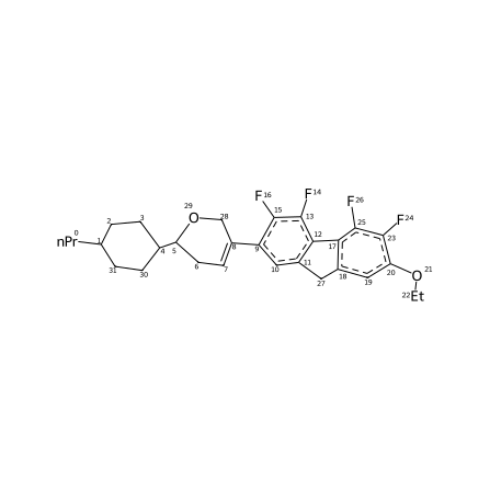 CCCC1CCC(C2CC=C(c3cc4c(c(F)c3F)-c3c(cc(OCC)c(F)c3F)C4)CO2)CC1